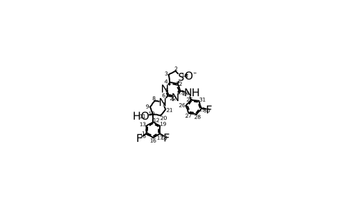 [O-][S+]1CCc2nc(N3CCC(O)(c4cc(F)cc(F)c4)CC3)nc(Nc3cccc(F)c3)c21